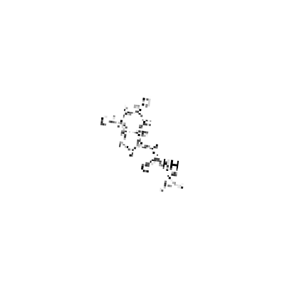 O=C(C=C1CCc2c(Cl)cc(Cl)cc21)NC1CC1